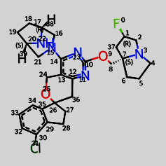 F[C@H]1CN2CCC[C@@]2(COc2nc3c(c(N4C[C@H]5CC[C@@H](C4)N5)n2)COC2(CCc4c(Cl)cccc42)C3)C1